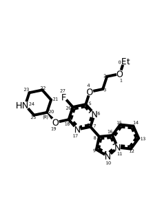 CCOCCOc1nc(-c2cnn3ccccc23)nc(O[C@@H]2CCCNC2)c1F